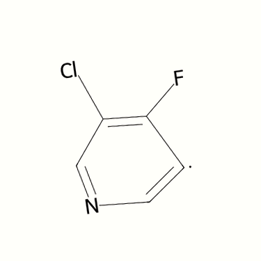 Fc1[c]cncc1Cl